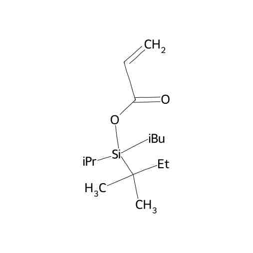 C=CC(=O)O[Si](C(C)C)(C(C)CC)C(C)(C)CC